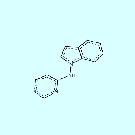 c1ccc2c(c1)ccn2Nc1ccncn1